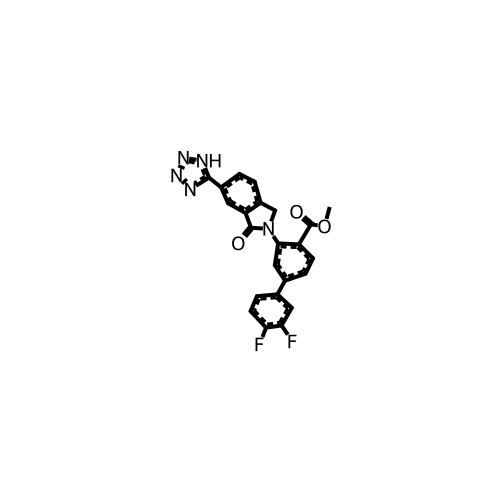 COC(=O)c1ccc(-c2ccc(F)c(F)c2)cc1N1Cc2ccc(-c3nnn[nH]3)cc2C1=O